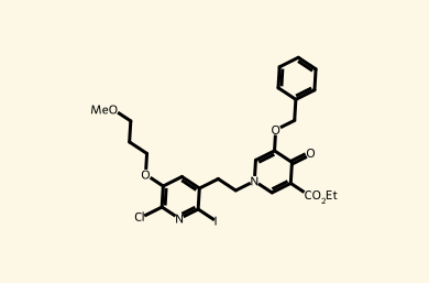 CCOC(=O)c1cn(CCc2cc(OCCCOC)c(Cl)nc2I)cc(OCc2ccccc2)c1=O